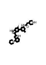 C=C1C=C(c2cc3c(-c4cc5c(N6CCCCC6)cccc5[nH]4)n[nH]c3cc2I)C=C(NC(=O)CC2CCNCC2)C1